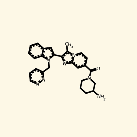 Cc1c(-c2cc3ccccc3n2Cc2cccnn2)nc2cc(C(=O)N3CCCC(N)C3)ccn12